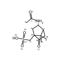 CC(N)=O.CC1(C)C2CCC1(CS(=O)(=O)O)C(=O)C2